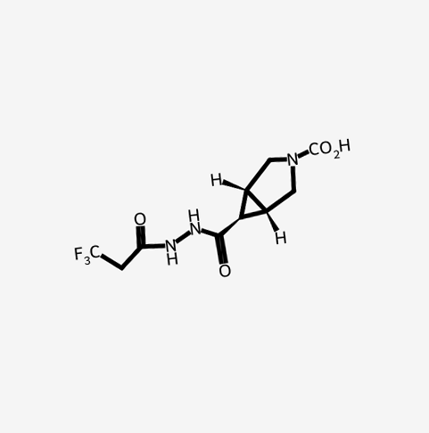 O=C(CC(F)(F)F)NNC(=O)[C@H]1[C@@H]2CN(C(=O)O)C[C@@H]21